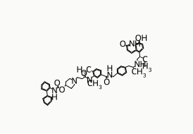 Cc1ccc(C(=O)NCc2ccc(CC(C)NC[C@H](C)c3ccc(O)c4[nH]c(=O)ccc34)cc2)cc1N(C)C(=O)CCN1CCC(OC(=O)Nc2ccccc2-c2ccccc2)CC1